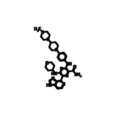 CN1CCN(C2CCN(c3ccc(Nc4nc(NC5CCOCC5)c(-c5nccc6[nH]cnc56)nc4C(N)=O)cc3)CC2)CC1